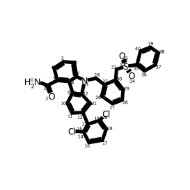 NC(=O)c1cccc2c1c1[c]cc(-c3c(Cl)cccc3Cl)cc1n2Cc1ccccc1CS(=O)(=O)c1ccccc1